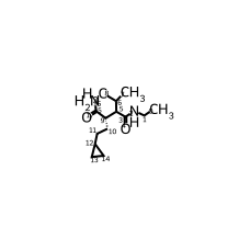 CCNC(=O)C(C(C)C)[C@H](CCC1CC1)C(N)=O